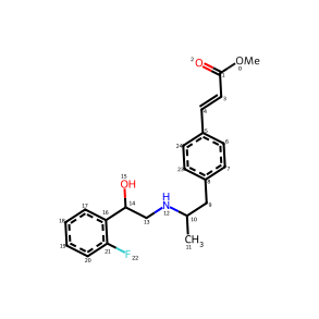 COC(=O)C=Cc1ccc(CC(C)NCC(O)c2ccccc2F)cc1